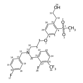 CS(=O)(=O)c1cc(OCCCN(Cc2ccc(F)cc2)Cc2cccc(C(F)(F)F)c2F)ccc1CCO